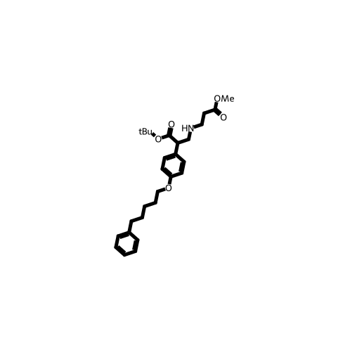 COC(=O)CCNCC(C(=O)OC(C)(C)C)c1ccc(OCCCCCc2ccccc2)cc1